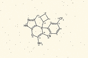 Cc1n[nH]c2c1C(c1cccc(C(F)(F)F)c1)(C1CCC1)C(C#N)=C(N)O2